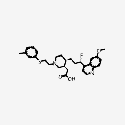 COc1ccc2nccc([C@@H](F)CC[C@@H]3CCN(CCSc4cccc(C)c4)C[C@@H]3CC(=O)O)c2c1